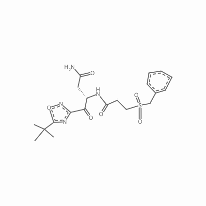 CC(C)(C)c1nc(C(=O)[C@H](CC(N)=O)NC(=O)[CH]CS(=O)(=O)Cc2ccccc2)no1